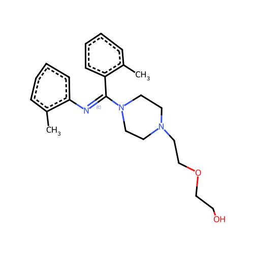 Cc1ccccc1/N=C(\c1ccccc1C)N1CCN(CCOCCO)CC1